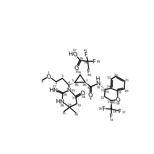 COCCC([C@@H]1C[C@H]1C(=O)N[C@H]1C[C@H](C(F)(F)F)Oc2ccccc21)N1C(=N)NC(C)(C)CC1=O.O=C(O)C(F)(F)F